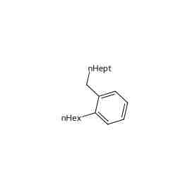 CCCCCCCCc1ccccc1CCCCCC